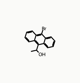 CC(O)c1c2ccccc2c(Br)c2ccccc12